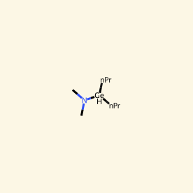 CC[CH2][GeH]([CH2]CC)[N](C)C